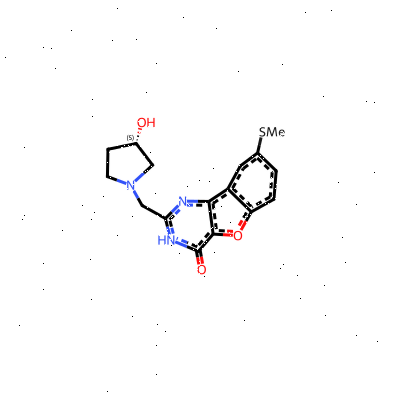 CSc1ccc2oc3c(=O)[nH]c(CN4CC[C@H](O)C4)nc3c2c1